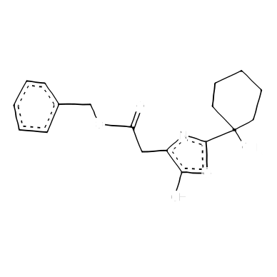 Cc1oc(C2(C)CCCCC2)nc1CC(=O)OCc1ccccc1